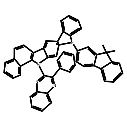 CC1(C)c2ccccc2-c2ccc(-n3c4ccccc4c4cc5c6ccc7ccccc7c6n(-c6nc7ccccc7nc6-c6ccccc6)c5cc43)cc21